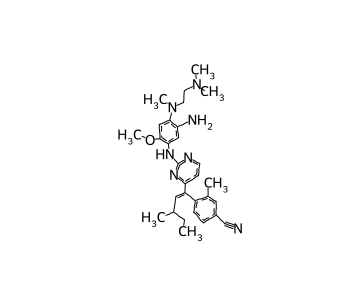 CCC(C)/C=C(/c1ccnc(Nc2cc(N)c(N(C)CCN(C)C)cc2OC)n1)c1ccc(C#N)cc1C